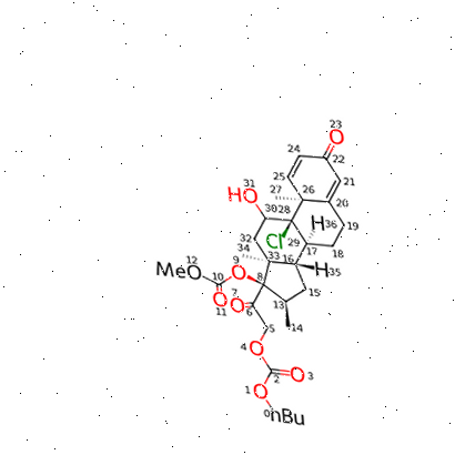 CCCCOC(=O)OCC(=O)[C@@]1(OC(=O)OC)[C@H](C)C[C@H]2[C@@H]3CCC4=CC(=O)C=C[C@]4(C)[C@@]3(Cl)C(O)C[C@@]21C